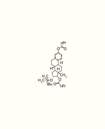 CCCC(=O)Oc1ccc2c(c1)CC[C@@H]1[C@@H]2CC[C@@]2(C)[C@H]1C[C@@H](O[Si](C)(C)C(C)(C)C)[C@@H]2OC(=O)CCC